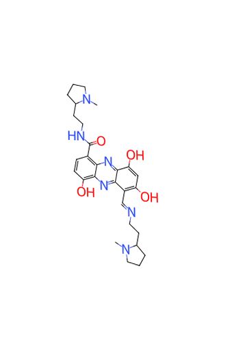 CN1CCCC1CCN=Cc1c(O)cc(O)c2nc3c(C(=O)NCCC4CCCN4C)ccc(O)c3nc12